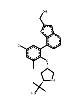 Cc1cc(Cl)cc(-c2ccnc3cc(CO)sc23)c1O[C@@H]1CN[C@@H](C(C)(C)O)C1